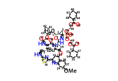 C=CC1C[C@]1(NC(=O)C1C[C@@H](Oc2cc(-c3csc(NC(C)C)n3)nc3cc(OC)ccc23)CN1C(=O)[C@@H](NC(=O)OC1CCCC1)C(C)(C)C)P(=O)(OCOC(=O)c1ccccc1)OCOC(=O)c1ccccc1